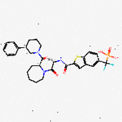 CC(C)(C)[C@H](NC(=O)c1cc2cc(C(F)(F)P(=O)(O)O)ccc2s1)C(=O)N1CCCCC[C@H]1C(=O)N1CCC[C@H](c2ccccc2)C1